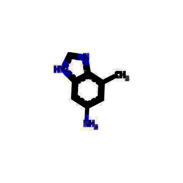 Cc1cc(N)cc2[nH]cnc12